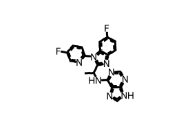 CC(Nc1ncnc2[nH]cnc12)c1nc2ccc(F)cc2n1-c1ccc(F)cn1